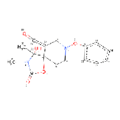 CN1C(=O)OC2(CCN(Oc3ccccc3)CC2=C=O)C1(C)O